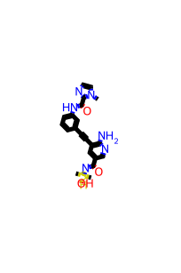 Cn1ccnc1C(=O)Nc1cccc(C#Cc2cc(C(=O)N=[SH](C)(C)O)cnc2N)c1